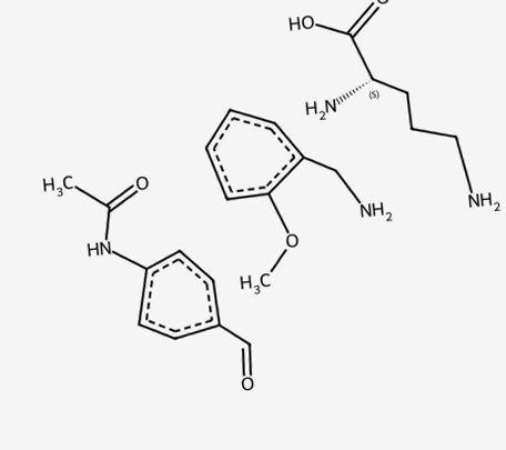 CC(=O)Nc1ccc(C=O)cc1.COc1ccccc1CN.NCCC[C@H](N)C(=O)O